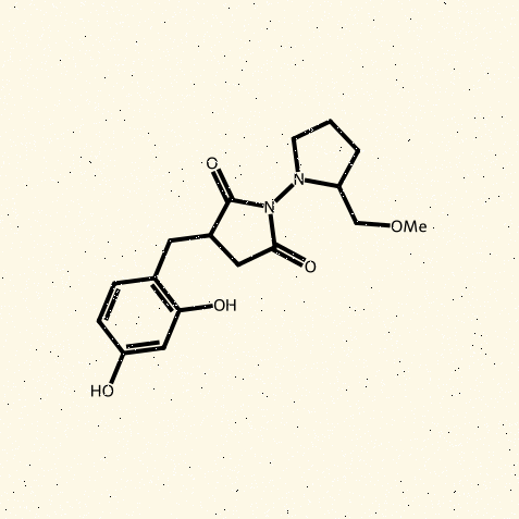 COCC1CCCN1N1C(=O)CC(Cc2ccc(O)cc2O)C1=O